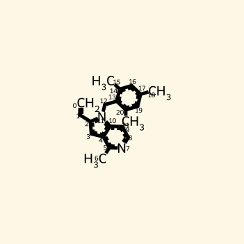 C=Cc1cc2c(C)nccc2n1Cc1c(C)cc(C)cc1C